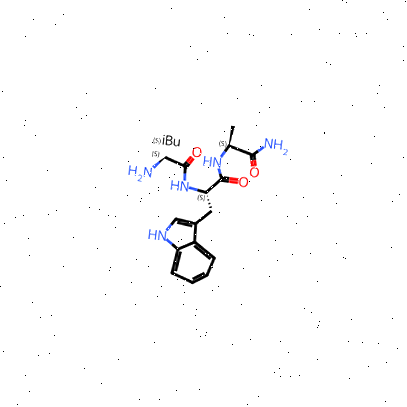 CC[C@H](C)[C@H](N)C(=O)N[C@@H](Cc1c[nH]c2ccccc12)C(=O)N[C@@H](C)C(N)=O